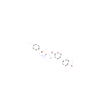 O=C1CC(=O)c2cc(-c3ccc4c(c3)C(=O)N(c3nnc(-c5ccc(Cl)cc5)o3)C4=O)ccc21